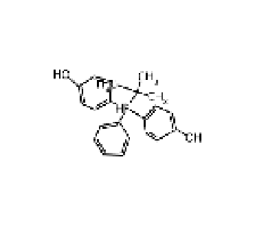 CC(C)(C)[PH](c1ccccc1)(c1ccc(O)cc1)c1ccc(O)cc1